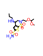 CCCN[C@H]1CN(CCOC(C)OC)S(=O)(=O)c2sc(S(N)(=O)=O)cc21